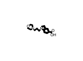 O=C(O)c1ccc2c(ccn2CCCN2CCOCC2)c1